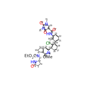 CCOC(=O)N(CC1CCC(=O)N1)[C@@H]1CCc2cc(-c3cccc(-c4cccc(NC(=O)c5cn(C)c(=O)n(C)c5=O)c4C)c3Cl)nc(OC)c21